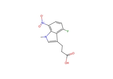 Cn1cc(CCC(=O)O)c2c(F)ccc([N+](=O)[O-])c21